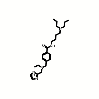 CCCN(CCC)CCCCNC(=O)c1ccc(CN(CI)Cc2ncc[nH]2)cc1